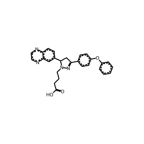 O=C(O)CCCN1N=C(c2ccc(Oc3ccccc3)cc2)CC1c1ccc2nccnc2c1